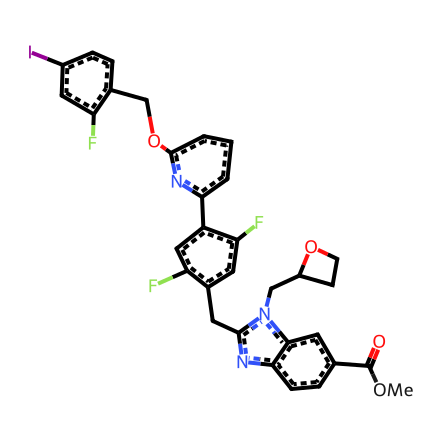 COC(=O)c1ccc2nc(Cc3cc(F)c(-c4cccc(OCc5ccc(I)cc5F)n4)cc3F)n(CC3CCO3)c2c1